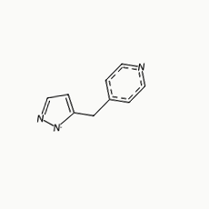 C1=N[N]C(Cc2ccncc2)=C1